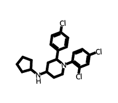 Clc1ccc(C2CC(NC3CCCC3)CCN2c2ccc(Cl)cc2Cl)cc1